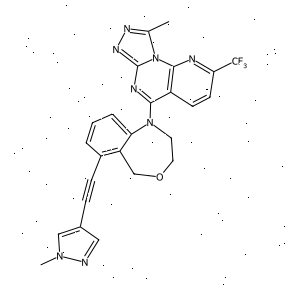 Cc1nnc2nc(N3CCOCc4c(C#Cc5cnn(C)c5)cccc43)c3ccc(C(F)(F)F)nc3n12